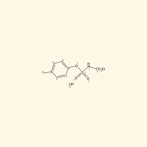 CCOC(=O)NS(=O)(=O)Oc1ccc(C)cc1.[LiH]